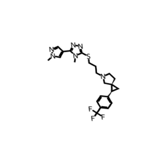 Cn1cc(-c2nnc(SCCCN3CC[C@]4(C[C@H]4c4ccc(C(F)(F)F)cc4)C3)n2C)cn1